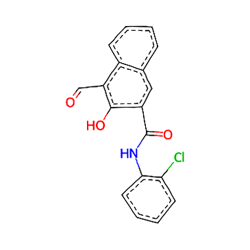 O=Cc1c(O)c(C(=O)Nc2ccccc2Cl)cc2ccccc12